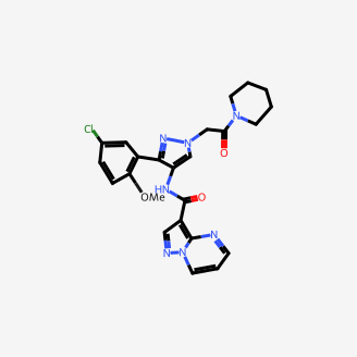 COc1ccc(Cl)cc1-c1nn(CC(=O)N2CCCCC2)cc1NC(=O)c1cnn2cccnc12